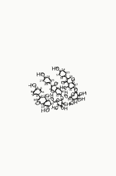 O=c1c(-c2ccc(O)cc2)coc2cc(O)ccc12.O=c1c(-c2ccc(O)cc2)coc2cc(OC3O[C@H](CO)[C@@H](O)[C@H](O)[C@H]3O)ccc12.O=c1c(-c2ccc(O)cc2)coc2cc(O[C@@H]3O[C@H](CO)[C@@H](O)[C@H](O)[C@H]3O)cc(O)c12